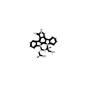 C[C@H](O)C[C@H]1O[C@@](C)(CO)n2c3ccccc3c3c4c(c5c6ccccc6n1c5c32)C(=O)NC4